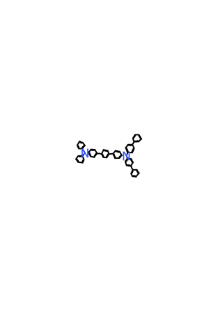 c1ccc(-c2ccc(N(c3ccc(-c4ccccc4)cc3)c3ccc(-c4ccc(-c5ccc(N(c6ccccc6)c6ccccc6)cc5)cc4)cc3)cc2)cc1